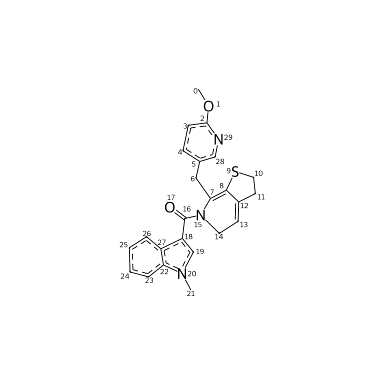 COc1ccc(CC2=C3SCCC3=CCN2C(=O)c2cn(C)c3ccccc23)cn1